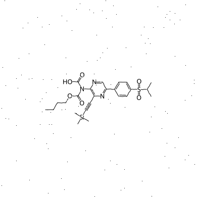 CCCCOC(=O)N(C(=O)O)c1ncc(-c2ccc(S(=O)(=O)C(C)C)cc2)nc1C#C[Si](C)(C)C